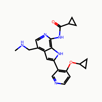 CNCc1cnc(NC(=O)C2CC2)c2[nH]c(-c3cnccc3OC3CC3)cc12